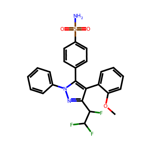 COc1ccccc1-c1c(C(F)C(F)F)nn(-c2ccccc2)c1-c1ccc(S(N)(=O)=O)cc1